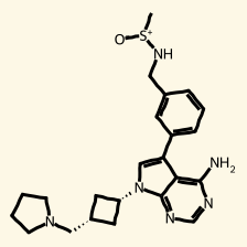 C[S+]([O-])NCc1cccc(-c2cn([C@H]3C[C@@H](CN4CCCC4)C3)c3ncnc(N)c23)c1